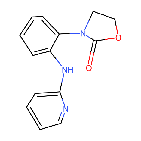 O=C1OCCN1c1ccccc1Nc1ccccn1